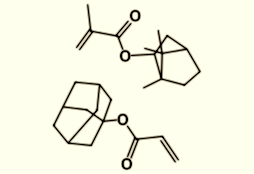 C=C(C)C(=O)OC1CC2CCC1(C)C2(C)C.C=CC(=O)OC12CC3CC(CC(C3)C1)C2